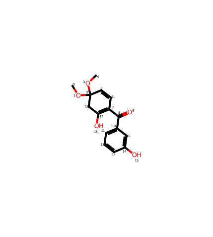 COC1(OC)C=CC(C(=O)c2cccc(O)c2)=C(O)C1